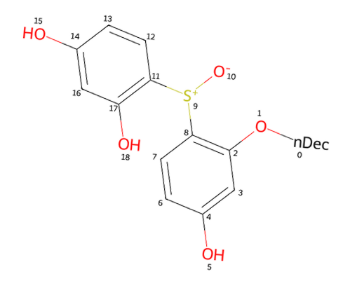 CCCCCCCCCCOc1cc(O)ccc1[S+]([O-])c1ccc(O)cc1O